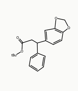 CC(C)(C)OC(=O)CC(c1ccccc1)c1ccc2c(c1)OCO2